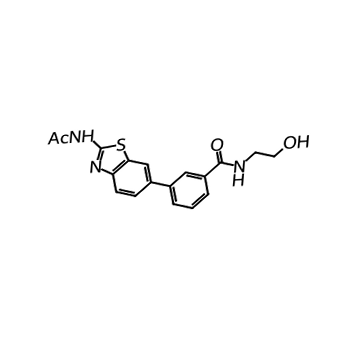 CC(=O)Nc1nc2ccc(-c3cccc(C(=O)NCCO)c3)cc2s1